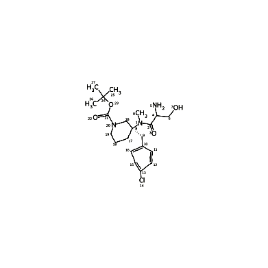 CN(C(=O)C(N)CO)[C@@]1(Cc2ccc(Cl)cc2)CCCN(C(=O)OC(C)(C)C)C1